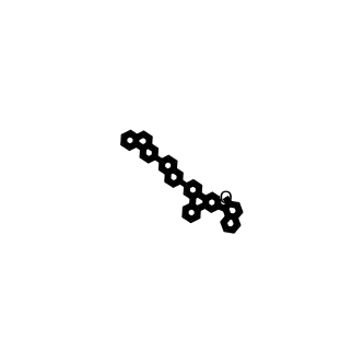 c1ccc2c(c1)ccc1cc(-c3ccc4cc(-c5ccc6c(c5)c5ccccc5c5cc7c(cc65)oc5ccc6ccccc6c57)ccc4c3)ccc12